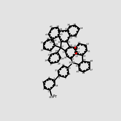 CCCc1cccc(-c2ccc(N(c3ccc4c(c3)C(c3ccccc3)(c3ccccc3)c3c-4c4ccccc4c4ccccc34)c3ccccc3-c3ccccc3)cc2)c1